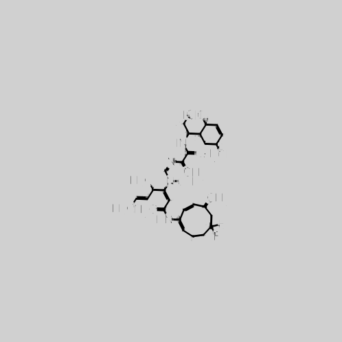 C=C1/C=C\C(NC(=C)/C=C(\C(C)/C=C/C)N(C)/C=N\C(=C)C(=C)NC(CC)C2CC(Cl)C=CC2C)=C/CCC(F)(F)C1